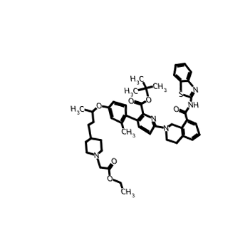 CCOC(=O)CN1CCC(CCC(C)Oc2ccc(-c3ccc(N4CCc5cccc(C(=O)Nc6nc7ccccc7s6)c5C4)nc3C(=O)OC(C)(C)C)c(C)c2)CC1